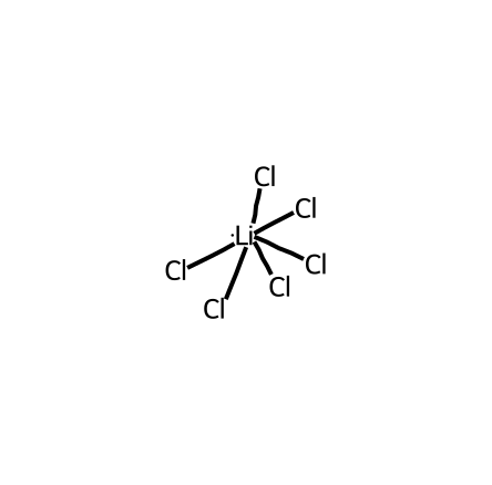 [Cl][Li]([Cl])([Cl])([Cl])([Cl])[Cl]